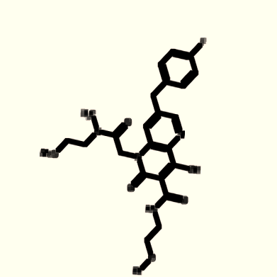 CCOCCNC(=O)c1c(O)c2ncc(Cc3ccc(F)cc3)cc2n(CC(=O)N(C)CCOC)c1=O